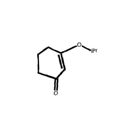 CC(C)OC1=CC(=O)CCC1